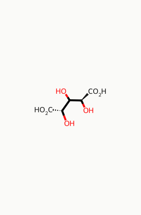 O=C(O)[C@@H](O)C(O)[C@H](O)C(=O)O